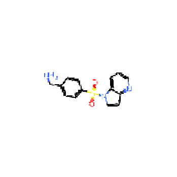 NCc1ccc(S(=O)(=O)n2ccc3ncccc32)cc1